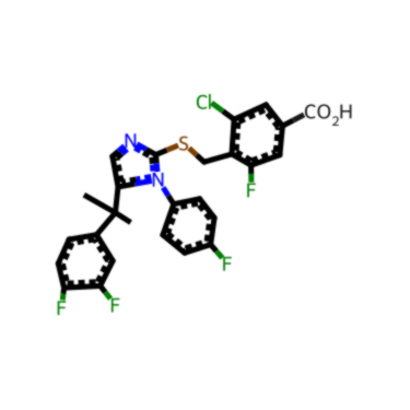 CC(C)(c1ccc(F)c(F)c1)c1cnc(SCc2c(F)cc(C(=O)O)cc2Cl)n1-c1ccc(F)cc1